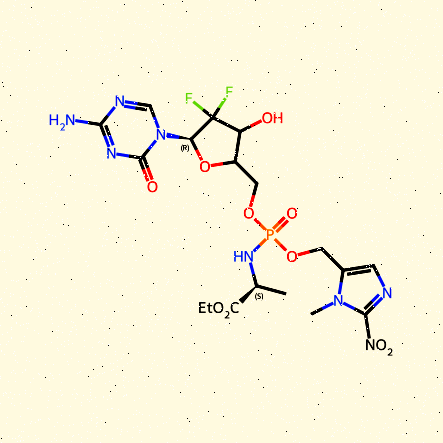 CCOC(=O)[C@H](C)NP(=O)(OCc1cnc([N+](=O)[O-])n1C)OCC1O[C@@H](n2cnc(N)nc2=O)C(F)(F)C1O